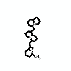 CC1CCCC2C(CC3CCCC4C(CC5CCCC6CC=CCN65)=CCCN34)CN12